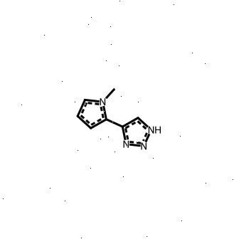 Cn1cccc1-c1c[nH]nn1